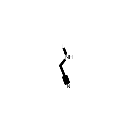 N#CCNI